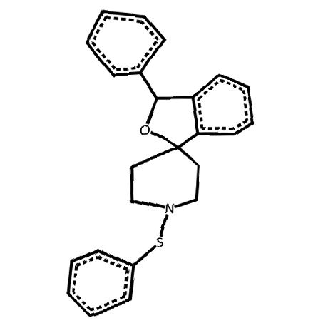 c1ccc(SN2CCC3(CC2)OC(c2ccccc2)c2ccccc23)cc1